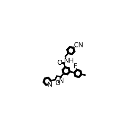 Cc1ccc(-c2cc(C(=O)NCc3ccc(C#N)cc3)cc(C3=NOC(c4ccccn4)C3)c2)c(F)c1